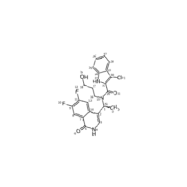 C[C@@H](c1c[nH]c(=O)c2cc(F)c(F)cc12)N(CCCO)C(=O)c1[nH]c2ccccc2c1Cl